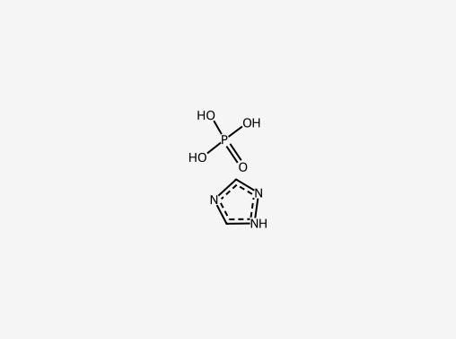 O=P(O)(O)O.c1nc[nH]n1